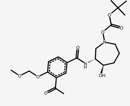 COCOc1ccc(C(=O)N[C@@H]2CN(OC(=O)OC(C)(C)C)CCC[C@H]2O)cc1C(C)=O